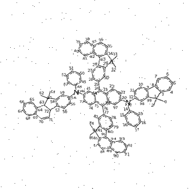 CC1(C)c2ccccc2-c2ccc(N(c3ccccc3)c3ccc4c(-c5ccc6c(c5)C(C)(C)c5ccc7ccccc7c5-6)c5cc(N(c6ccccc6)c6ccc7c(c6)C(C)(C)C6c8ccccc8C=CC76)ccc5c(-c5ccc6c(c5)C(C)(C)c5ccc7ccccc7c5-6)c4c3)cc21